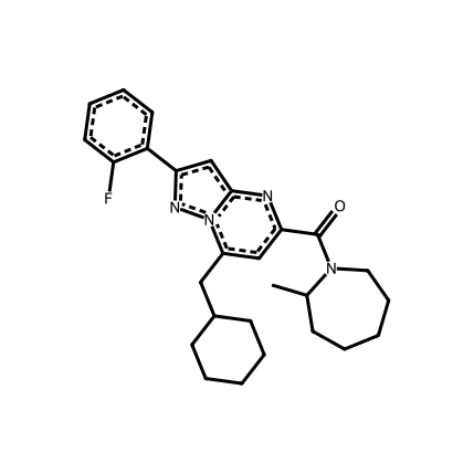 CC1CCCCCN1C(=O)c1cc(CC2CCCCC2)n2nc(-c3ccccc3F)cc2n1